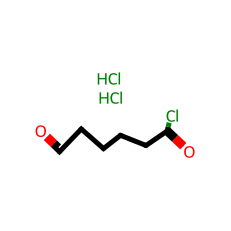 Cl.Cl.O=CCCCCC(=O)Cl